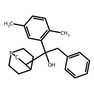 Cc1ccc(C)c(C(O)(Cc2ccccc2)C2CN3CCC2CC3)c1